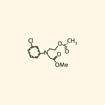 COC(=O)CN(CCOS(C)=O)c1cccc(Cl)c1